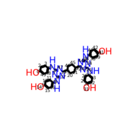 Oc1ccc(Nc2nc(Nc3ccc(O)cc3)nc(C3CCC(c4nc(Nc5ccc(O)cc5)nc(Nc5ccc(O)cc5)n4)CC3)n2)cc1